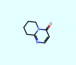 O=c1ccnc2n1CCCC2